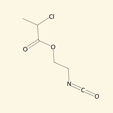 CC(Cl)C(=O)OCCN=C=O